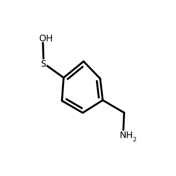 NCc1ccc(SO)cc1